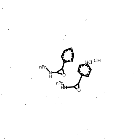 CCCNC1OC1c1ccccc1.CCCNC1OC1c1ccccc1.Cl.Cl